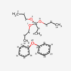 CCCO[Si](CC)(OCCC)OCCC.c1ccc(Oc2ccccc2)cc1